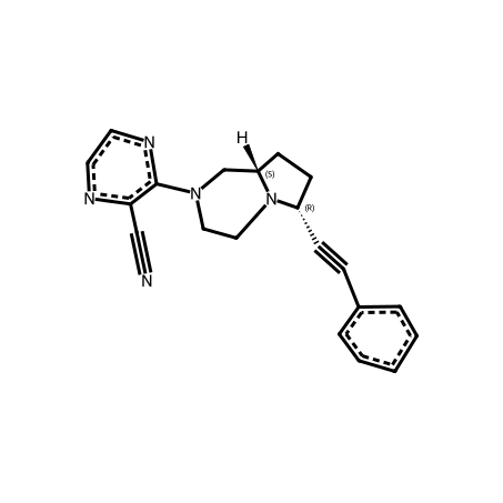 N#Cc1nccnc1N1CCN2[C@@H](CC[C@@H]2C#Cc2ccccc2)C1